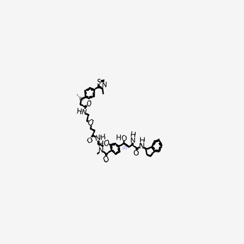 Cc1ncsc1-c1ccc([C@@H](C)CC(=O)NCCOCCC(=O)NCCN(C)C(=O)c2ccc(/C(O)=C/C(=N)C(=O)NC3CCc4ccccc43)cc2O)cc1